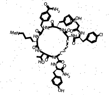 CNCCCC[C@@H]1NC(=O)[C@@H](Cc2ccc(C(N)=O)cc2)NC(=O)[C@H](Cc2ccc(O)cc2)NC(=O)[C@H](NC(=O)[C@H](Cc2ccc(Cl)cc2)NC(=O)CC(C)(C)C)CSSC[C@@H](C(=O)N[C@H](Cc2ccc(O)cc2)C(N)=O)NC(=O)C(C(C)O)NC1=O